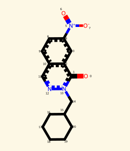 O=c1c2cc([N+](=O)[O-])ccc2cnn1CC1CCCCC1